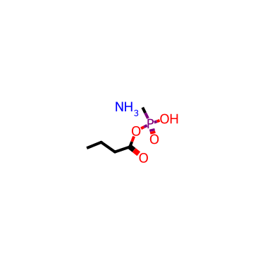 CCCC(=O)OP(C)(=O)O.N